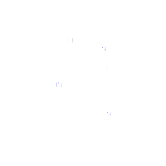 Cc1noc(C)c1-c1ccc2c(c1)C(=CCc1cccnc1)C(=O)N2